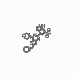 CS(=O)(=O)c1cc(-c2nc(N3CCOCC3)c3sc(CN4CCCCC4)cc3n2)c2cc[nH]c2c1